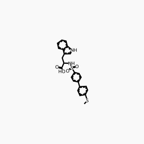 CSc1ccc(-c2ccc(S(=O)(=O)NC(Cc3c[nH]c4ccccc34)C(=O)O)cc2)cc1